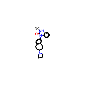 N#CNC(=O)N(c1ccccc1)c1ccc2c(c1)CC[C@@H](N1CCCC1)CC2